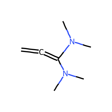 C=C=C(N(C)C)N(C)C